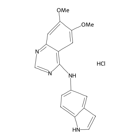 COc1cc2ncnc(Nc3ccc4[nH]ccc4c3)c2cc1OC.Cl